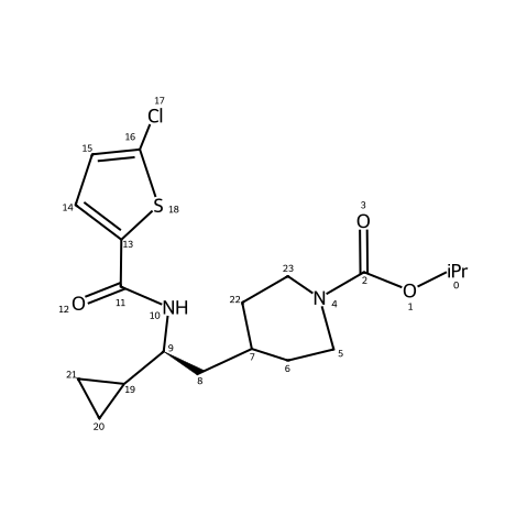 CC(C)OC(=O)N1CCC(C[C@H](NC(=O)c2ccc(Cl)s2)C2CC2)CC1